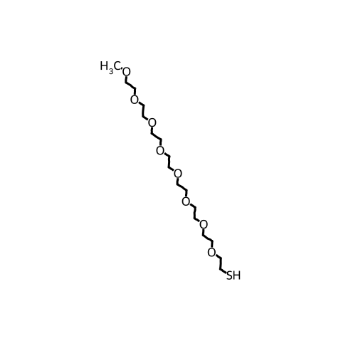 COCCOCCOCCOCCOCCOCCOCCOCCS